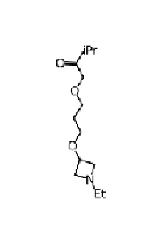 CCN1CC(OCCCOCC(=O)C(C)C)C1